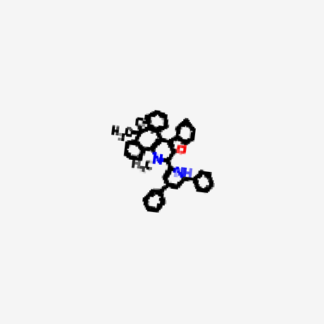 CN1C2=C(c3ccccc3C(C)(C)c3ccccc32)c2c(oc3ccccc23)C1C1=CC(c2ccccc2)=CC(c2ccccc2)N1